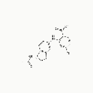 CC(=O)N[C@H]1CCc2cc(Nc3nc(Cl)ccc3[N+](=O)[O-])ccc21